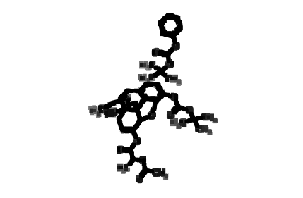 CC(=O)OC(C)C(=O)OC1=CCC2(O)C3Cc4ccc(OC(=O)OC(C)(C)C)c5c4C2(CCN3C)C1O5.CC(C)(C)OC(=O)Oc1ccccc1